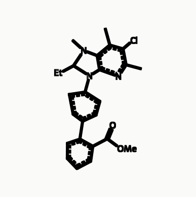 CCC1N(C)c2c(nc(C)c(Cl)c2C)N1c1ccc(-c2ccccc2C(=O)OC)cc1